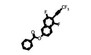 O=C(Oc1ccc2c(F)c(C#CC(F)(F)F)c(F)cc2c1)c1ccccc1